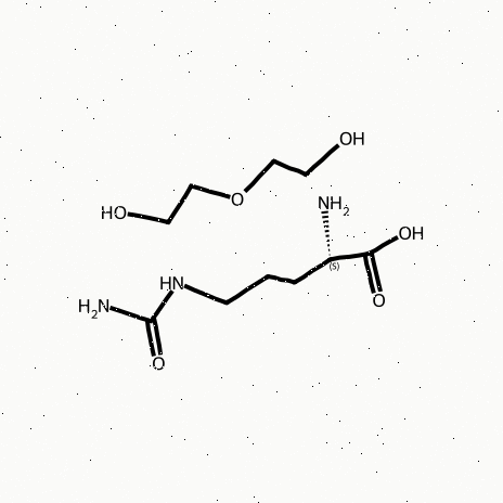 NC(=O)NCCC[C@H](N)C(=O)O.OCCOCCO